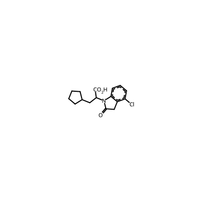 O=C(O)C(CC1CCCC1)N1C(=O)Cc2c(Cl)cccc21